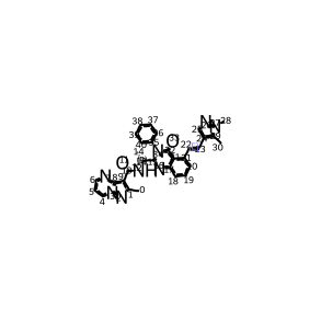 Cc1nn2cccnc2c1C(=O)N[C@H](C)c1nc2cccc(/C=C/c3cnn(C)c3C)c2c(=O)n1-c1ccccc1